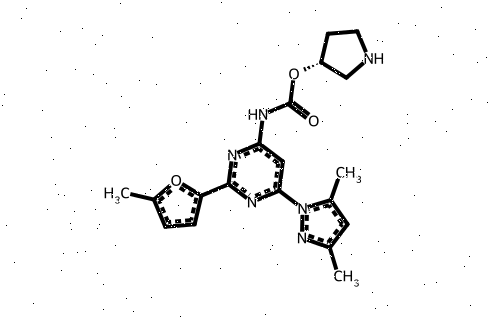 Cc1cc(C)n(-c2cc(NC(=O)O[C@@H]3CCNC3)nc(-c3ccc(C)o3)n2)n1